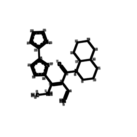 CN/C(=C(\C=N)C(=O)N1CCCC2CCCCC21)c1ccc(-c2cccs2)s1